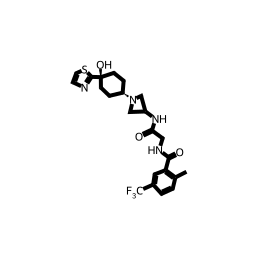 Cc1ccc(C(F)(F)F)cc1C(=O)NCC(=O)NC1CN([C@H]2CC[C@@](O)(c3nccs3)CC2)C1